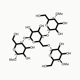 CO[C@@H]1OC(CO)[C@H](O[C@@H]2OC(CO[C@H]3OC(CO)[C@H](OC)C(O)C3O)[C@H](O[C@@H]3OC(CO)[C@H](OC)C(O)C3O)C(O)C2O)C(O)C1O